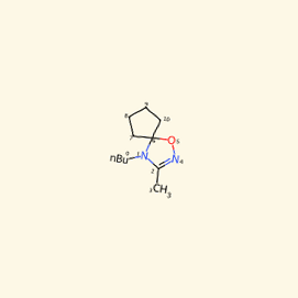 [CH2]CCCN1C(C)=NOC12CCCC2